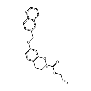 CCOC(=O)[C@H]1CCc2ccc(OCc3ccc4ncncc4c3)cc2O1